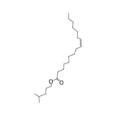 CCCCCC/C=C\CCCCCCCC(=O)OCCCC(C)C